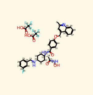 Cc1cc(COc2ccc(C(=O)N[C@]3(CC(=O)NO)CC[C@@H](NCc4cccc(F)c4)CC3)cc2)c2ccccc2n1.O=C(O)C(F)(F)F.O=C(O)C(F)(F)F